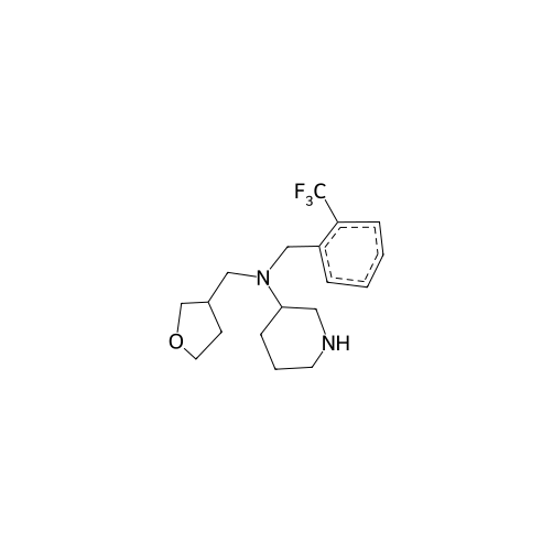 FC(F)(F)c1ccccc1CN(CC1CCOC1)C1CCCNC1